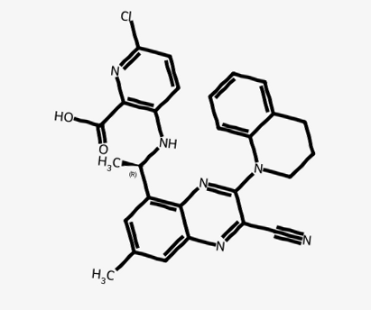 Cc1cc([C@@H](C)Nc2ccc(Cl)nc2C(=O)O)c2nc(N3CCCc4ccccc43)c(C#N)nc2c1